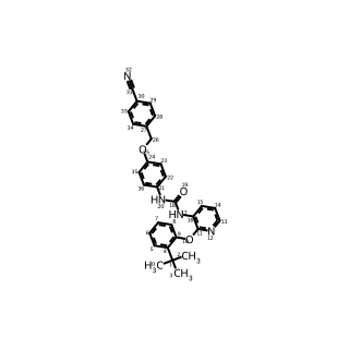 CC(C)(C)c1ccccc1Oc1ncccc1NC(=O)Nc1ccc(OCc2ccc(C#N)cc2)cc1